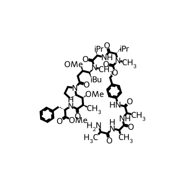 CC[C@H](C)[C@@H]([C@@H](CC(=O)N1CCC[C@H]1[C@H](OC)[C@@H](C)C(=O)N[C@@H](Cc1ccccc1)C(=O)OC)OC)N(C)C(=O)[C@@H](NC(=O)[C@H](C(C)C)N(C)C(=O)OCc1ccc(NC(=O)C(C)NC(=O)C(C)NC(=O)C(C)N)cc1)C(C)C